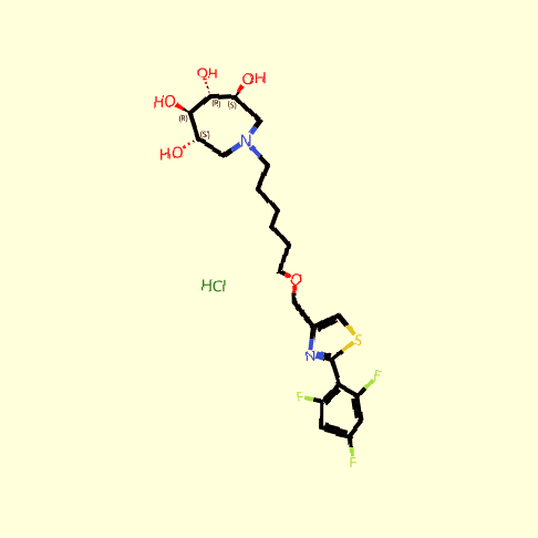 Cl.O[C@H]1[C@H](O)[C@@H](O)CN(CCCCCCOCc2csc(-c3c(F)cc(F)cc3F)n2)C[C@@H]1O